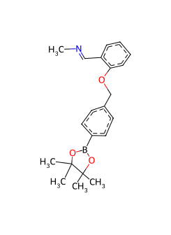 C/N=C/c1ccccc1OCc1ccc(B2OC(C)(C)C(C)(C)O2)cc1